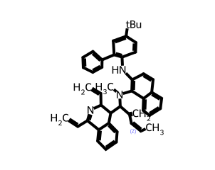 C=CC1=NC(C=C)C(C(C(=C)/C=C\C)N(C)c2c(Nc3ccc(C(C)(C)C)cc3-c3ccccc3)ccc3ccccc23)c2ccccc21